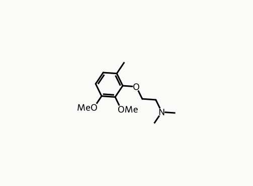 COc1ccc(C)c(OCCN(C)C)c1OC